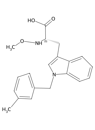 CON[C@@H](Cc1cn(Cc2cccc(C)c2)c2ccccc12)C(=O)O